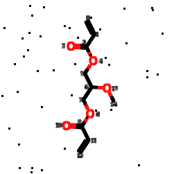 C=CC(=O)OCC(COC(=O)C=C)OC